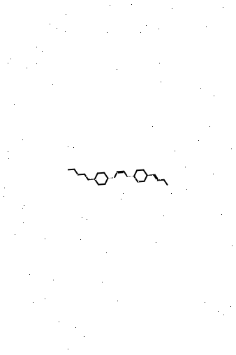 CC/C=C/[C@H]1CC[C@H](C/C=C\C[C@H]2CC[C@H](CCCCC)CC2)CC1